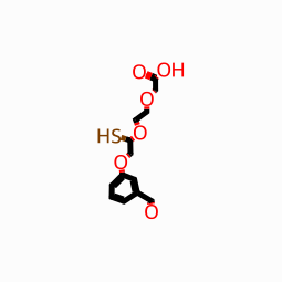 O=Cc1cccc(OCC(S)OCCOCC(=O)O)c1